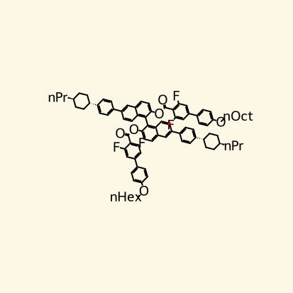 CCCCCCCCOc1ccc(-c2cc(F)c(C(=O)Oc3ccc4cc(-c5ccc([C@H]6CC[C@H](CCC)CC6)cc5)ccc4c3-c3c(OC(=O)c4c(F)cc(-c5ccc(OCCCCCC)cc5)cc4F)ccc4cc(-c5ccc([C@H]6CC[C@H](CCC)CC6)cc5)ccc34)c(F)c2)cc1